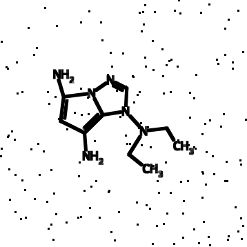 CCN(CC)n1cnn2c(N)cc(N)c12